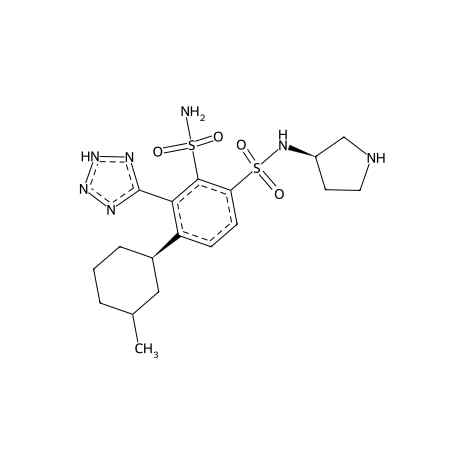 CC1CCC[C@@H](c2ccc(S(=O)(=O)N[C@@H]3CCNC3)c(S(N)(=O)=O)c2-c2nn[nH]n2)C1